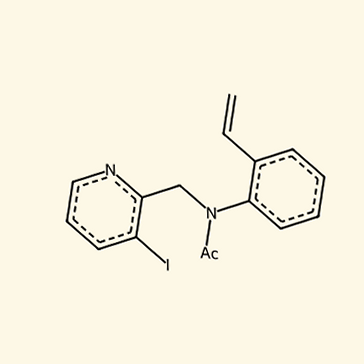 C=Cc1ccccc1N(Cc1ncccc1I)C(C)=O